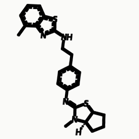 Cc1cccc2sc(NCCc3ccc(/N=C4\SC5CCC[C@H]5N4C)cc3)nc12